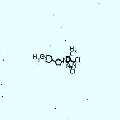 Cc1cn(C2CCC(C3CCN(C)CC3)C2)c2nc(Cl)nc(Cl)c12